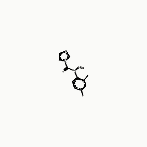 CCCCN(C(=O)n1ccnc1)c1ccc(Cl)cc1C